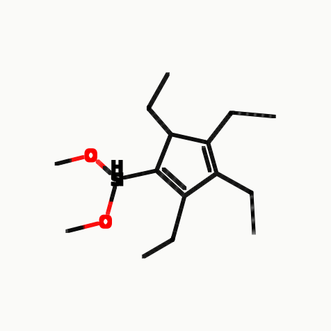 CCC1=C(CC)C(CC)C([SiH](OC)OC)=C1CC